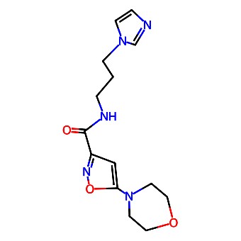 O=C(NCCCn1ccnc1)c1cc(N2CCOCC2)on1